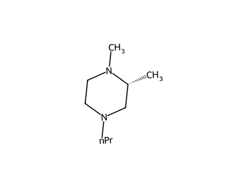 CCCN1CCN(C)[C@H](C)C1